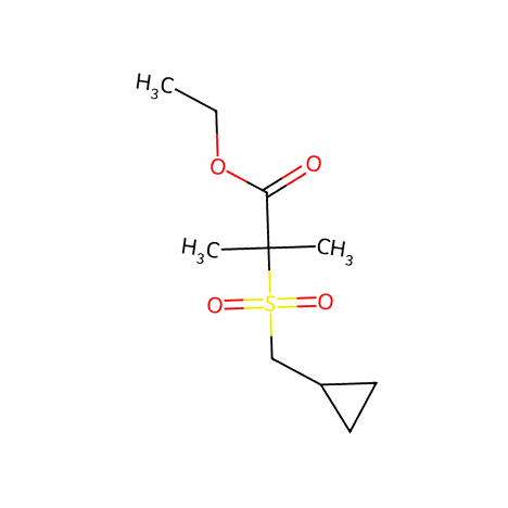 CCOC(=O)C(C)(C)S(=O)(=O)CC1CC1